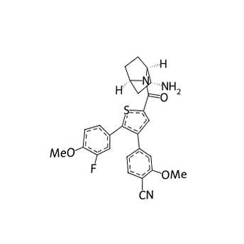 COc1ccc(-c2sc(C(=O)N3[C@@H]4CC[C@H]3[C@H](N)C4)cc2-c2ccc(C#N)c(OC)c2)cc1F